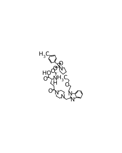 CCOCCn1c(CN2CCN(C(=O)CC[C@H](NC(=O)[C@H]3CCCN3S(=O)(=O)c3ccc(C)cc3)C(=O)O)CC2)nc2ccccc21